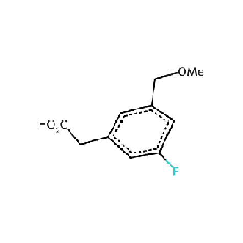 COCc1cc(F)cc(CC(=O)O)c1